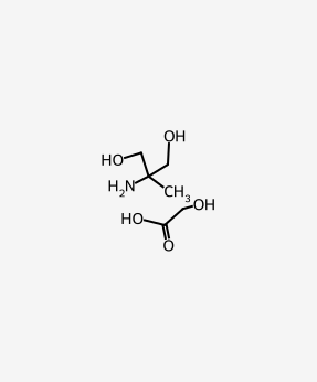 CC(N)(CO)CO.O=C(O)CO